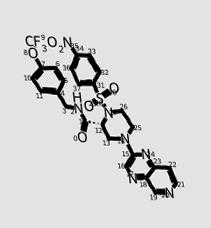 O=C(NCc1ccc(OC(F)(F)F)cc1)[C@H]1CN(c2cnc3cnccc3n2)CCN1S(=O)(=O)c1ccc([N+](=O)[O-])cc1